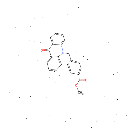 COC(=O)c1ccc(Cn2c3ccccc3c(=O)c3ccccc32)cc1